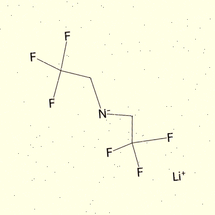 FC(F)(F)C[N-]CC(F)(F)F.[Li+]